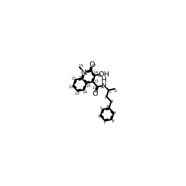 CC(CCc1ccccc1)NC(=O)c1c(O)c(=O)n(C)c2ccccc12